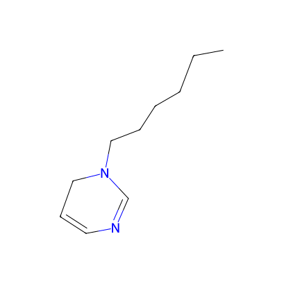 CCCCCCN1C=NC=CC1